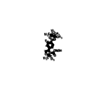 CC(C)(C)OC(=O)N1C(c2ccc(B3OC(C)(C)C(C)(C)O3)c(F)c2)COC1(C)C